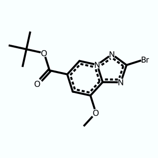 COc1cc(C(=O)OC(C)(C)C)cn2nc(Br)nc12